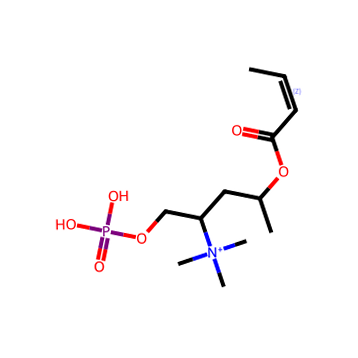 C/C=C\C(=O)OC(C)CC(COP(=O)(O)O)[N+](C)(C)C